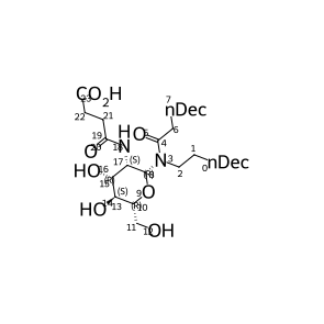 CCCCCCCCCCCCN(C(=O)CCCCCCCCCCC)[C@@H]1O[C@H](CO)[C@@H](O)[C@H](O)[C@@H]1NC(=O)CCC(=O)O